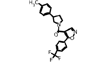 Cc1ccc(C2CCN(C(=O)c3cnoc3-c3ccc(C(F)(F)F)cc3)C2)cc1